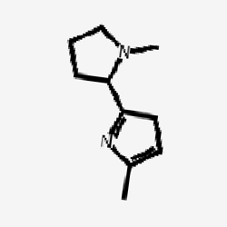 CC1=CCC(C2CCCN2C)=N1